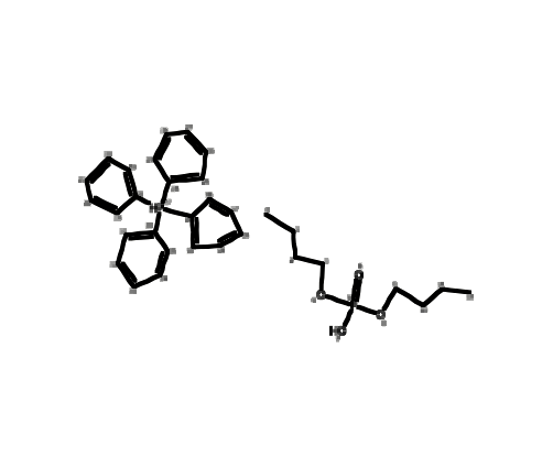 CCCCOP(=O)(O)OCCCC.c1ccc([PH](c2ccccc2)(c2ccccc2)c2ccccc2)cc1